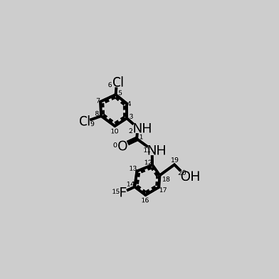 O=C(Nc1cc(Cl)cc(Cl)c1)Nc1cc(F)ccc1CO